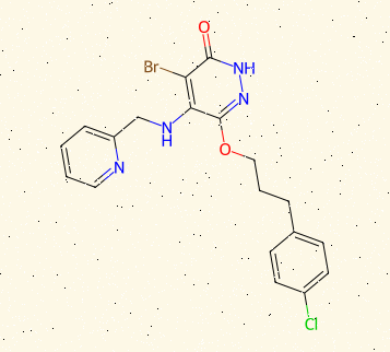 O=c1[nH]nc(OCCCc2ccc(Cl)cc2)c(NCc2ccccn2)c1Br